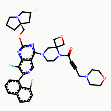 O=C(C#CCN1CCOCC1)N1CCN(c2nc(OC[C@@]34CCCN3C[C@H](F)C4)nc3c(F)c(-c4cccc5cccc(Cl)c45)ncc23)CC12COC2